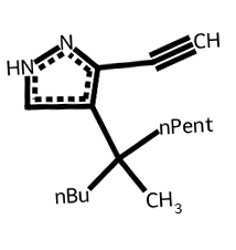 C#Cc1n[nH]cc1C(C)(CCCC)CCCCC